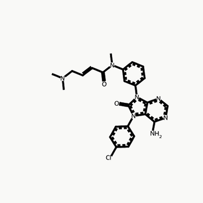 CN(C)CC=CC(=O)N(C)c1cccc(-n2c(=O)n(-c3ccc(Cl)cc3)c3c(N)ncnc32)c1